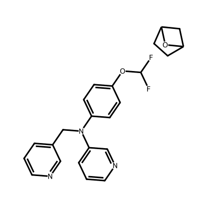 C1CC2CC1O2.FC(F)Oc1ccc(N(Cc2cccnc2)c2cccnc2)cc1